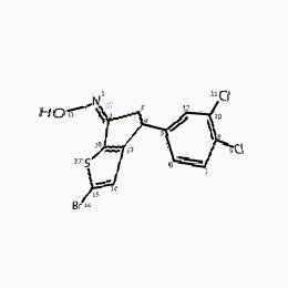 O/N=C1/CC(c2ccc(Cl)c(Cl)c2)c2cc(Br)sc21